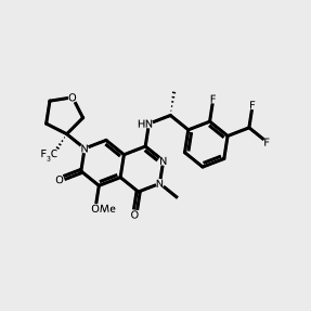 COc1c(=O)n([C@@]2(C(F)(F)F)CCOC2)cc2c(N[C@H](C)c3cccc(C(F)F)c3F)nn(C)c(=O)c12